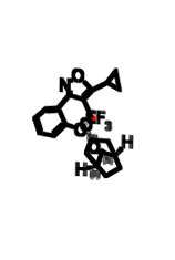 O=C1[C@@H]2CC[C@H]1C[C@@H](OCc1c(-c3ccccc3OC(F)(F)F)noc1C1CC1)C2